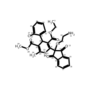 CCOC(=O)C1=C(C2(OCCN)C(=O)c3ccccc3C2=O)NC(C)=C(C(=O)OC)C1c1ccccc1Cl